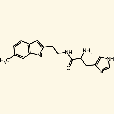 Cc1ccc2cc(CCNC(=O)C(N)Cc3c[nH]cn3)[nH]c2c1